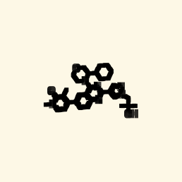 Cc1c(-c2ccc3nc(-c4cnn(CC(C)(C)O)c4)nc(N4CCOCC4C4CCCCC4)c3c2)ccn(C)c1=O